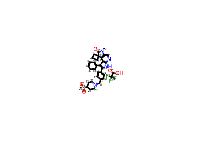 CN1C(=O)C2(CCC2)c2c1cnc1[nH]c(-c3ccc(CN4CCC(S(C)(=O)=O)CC4)cc3)c(-c3ccccc3)c21.O=C(O)C(F)(F)F